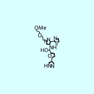 COCCOCCn1cc(NC(O)c2ccc(-c3cn[nH]c3)o2)c(-c2nccs2)n1